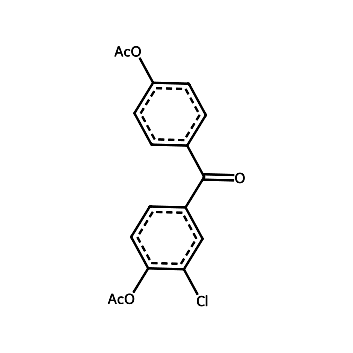 CC(=O)Oc1ccc(C(=O)c2ccc(OC(C)=O)c(Cl)c2)cc1